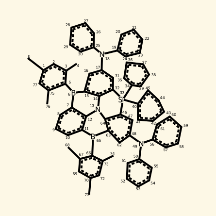 Cc1cc(C)c(B2c3cccc4c3N3c5c2cc(N(c2ccccc2)c2ccccc2)cc5[Si](c2ccccc2)(c2ccccc2)c2cc(N(c5ccccc5)c5ccccc5)cc(c23)B4c2c(C)cc(C)cc2C)c(C)c1